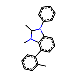 Cc1ccccc1-c1cccc2c1N(C)C(C)N2c1ccccc1